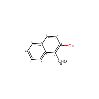 [O]c1ccc2ccccc2c1C=O